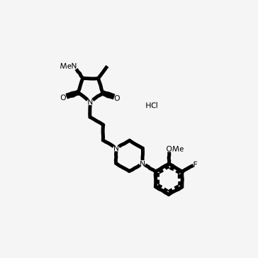 CNC1C(=O)N(CCCN2CCN(c3cccc(F)c3OC)CC2)C(=O)C1C.Cl